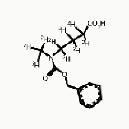 [2H]C([2H])([2H])N(C(=O)OCc1ccccc1)C([2H])([2H])C([2H])([2H])C([2H])([2H])C(=O)O